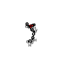 Nc1nnc(-c2ccccc2O)cc1N1CC2CCC(C1)N2c1cccc(CN2CCC(C(=O)N3CCC(c4ccc(NC5CCC(=O)NC5=O)cc4)CC3)CC2)c1